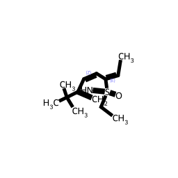 C=C(/C=C\C(=C/C)S(=N)(=O)CC)C(C)(C)C